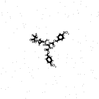 CC(=O)N(NC(=NC(=O)OCc1ccc([N+](=O)[O-])cc1)NC(=O)OCc1ccc([N+](=O)[O-])cc1)C1CNC1.O=C(O)C(F)(F)F